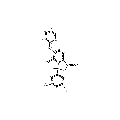 CC1(c2cc(Cl)cc(Cl)c2)NC(=O)c2ccc(Nc3ccncn3)c(=O)n21